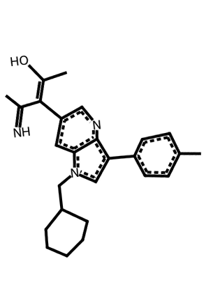 CC(=N)/C(=C(/C)O)c1cnc2c(-c3ccc(C)cc3)cn(CC3CCCCC3)c2c1